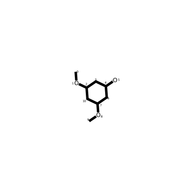 COC1CC([O])CC(OC)C1